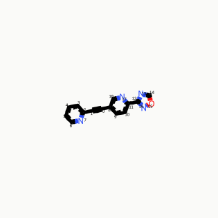 C(#Cc1ccccn1)c1ccc(-c2ncon2)nc1